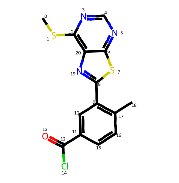 CSc1ncnc2sc(-c3cc(C(=O)Cl)ccc3C)nc12